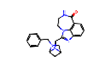 O=C1NCCn2c(CN3C4CC3N(Cc3ccccc3)C4)nc3cccc1c32